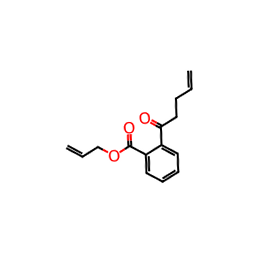 C=CCCC(=O)c1ccccc1C(=O)OCC=C